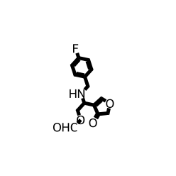 O=COCC(NCc1ccc(F)cc1)C1=COCC1=O